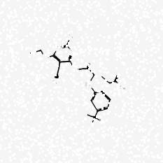 CCOc1nc(N)nc(OC(=O)[C@H](CCC(N)=O)Nc2cccc(C(F)(F)F)c2)c1C#N